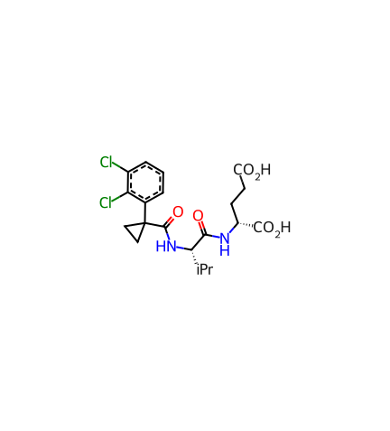 CC(C)[C@H](NC(=O)C1(c2cccc(Cl)c2Cl)CC1)C(=O)N[C@H](CCC(=O)O)C(=O)O